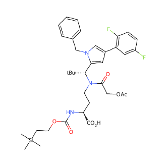 CC(=O)OCC(=O)N(CC[C@H](NC(=O)OCC[Si](C)(C)C)C(=O)O)[C@@H](c1cc(-c2cc(F)ccc2F)cn1Cc1ccccc1)C(C)(C)C